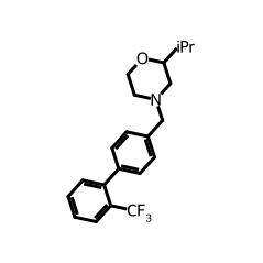 CC(C)C1CN(Cc2ccc(-c3ccccc3C(F)(F)F)cc2)CCO1